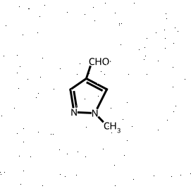 Cn1cc([C]=O)cn1